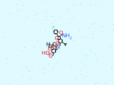 CS(=O)(=O)N(Cc1cc2c(c(OC(F)(F)F)c1)B(O)OC2)Cc1cc2oc(-c3ccc(F)cc3)c(C(N)=O)c2cc1C1CC1